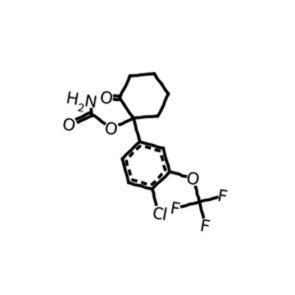 NC(=O)OC1(c2ccc(Cl)c(OC(F)(F)F)c2)CCCCC1=O